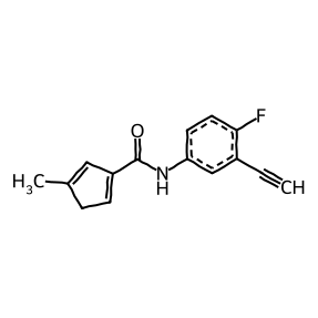 C#Cc1cc(NC(=O)C2=CCC(C)=C2)ccc1F